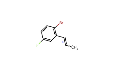 C/C=C/c1cc(F)ccc1Br